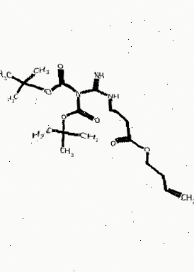 C=CCCOC(=O)CCNC(=N)N(C(=O)OC(C)(C)C)C(=O)OC(C)(C)C